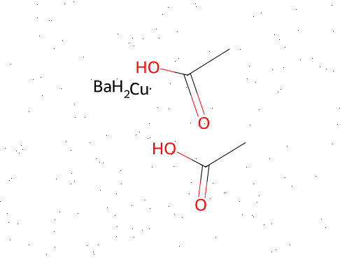 CC(=O)O.CC(=O)O.[BaH2].[Cu]